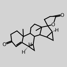 CC12CCC(=O)C=C1[C@@H]1C[C@@H]1C1C2CCC2(C)C1C1C[C@@H]1C21CCC(=O)O1